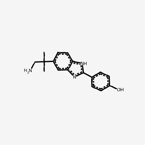 CC(C)(CN)c1ccc2[nH]c(-c3ccc(O)cc3)nc2c1